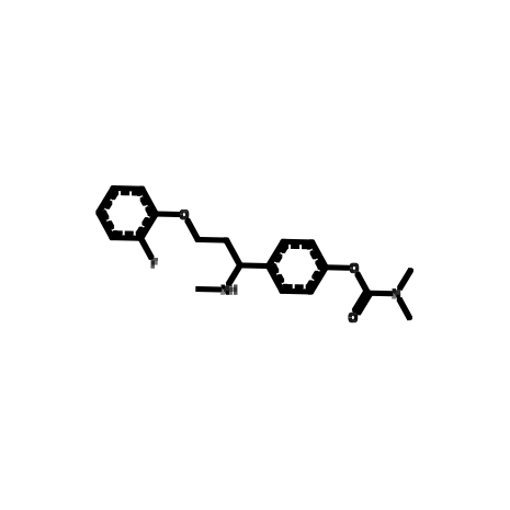 CNC(CCOc1ccccc1F)c1ccc(OC(=O)N(C)C)cc1